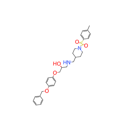 Cc1ccc(S(=O)(=O)N2CCC(CNC[C@H](O)COc3ccc(OCc4ccccc4)cc3)CC2)cc1